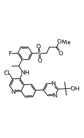 COC(=O)CCS(=O)(=O)c1ccc(F)c(C(C)Nc2c(Cl)cnc3ccc(-c4cnc(C(C)(C)O)nc4)cc23)c1